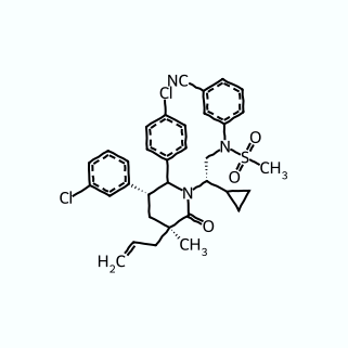 C=CC[C@@]1(C)C[C@H](c2cccc(Cl)c2)C(c2ccc(Cl)cc2)N([C@H](CN(c2cccc(C#N)c2)S(C)(=O)=O)C2CC2)C1=O